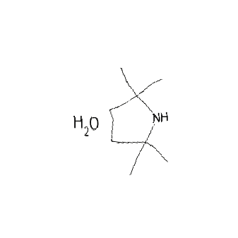 CC1(C)CCC(C)(C)N1.O